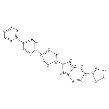 c1ccc(-c2ccc(-c3ccc(-n4nc5ccc(N6CCCC6)cc5n4)cc3)cc2)cc1